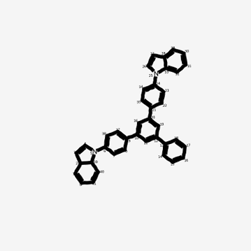 C1=CC2C=CN(c3ccc(-c4cc(-c5ccccc5)cc(-c5ccc(-n6ccc7ccccc76)cc5)c4)cc3)C2C=C1